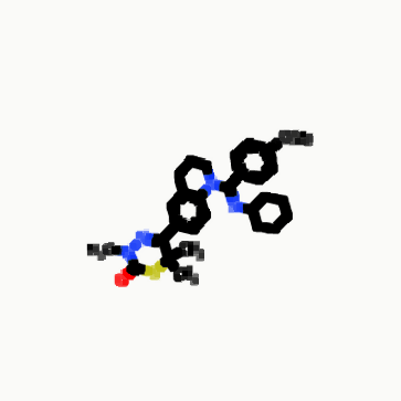 COc1ccc(C(=NC2CCCCC2)N2CCCc3cc(C4=NN(C)C(=O)SC4(C)C)ccc32)cc1